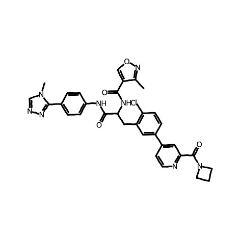 Cc1nocc1C(=O)NC(Cc1cc(-c2ccnc(C(=O)N3CCC3)c2)ccc1Cl)C(=O)Nc1ccc(-c2nncn2C)cc1